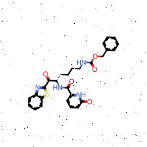 O=C(NCCCC[C@H](NC(=O)c1cccc(=O)[nH]1)C(=O)c1nc2ccccc2s1)OCc1ccccc1